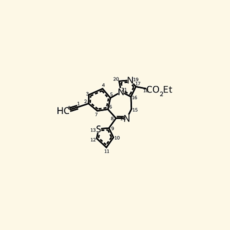 C#Cc1ccc2c(c1)C(c1cccs1)=NCc1c(C(=O)OCC)ncn1-2